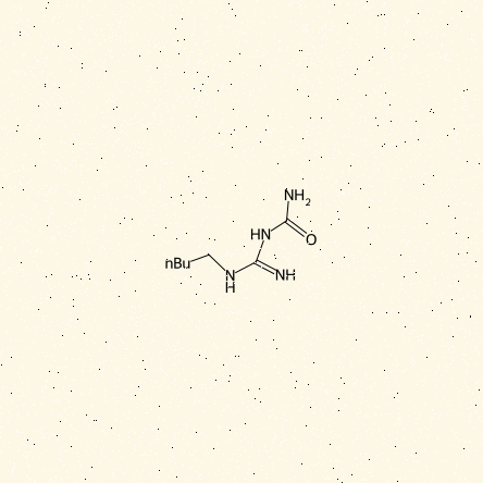 CCCCCNC(=N)NC(N)=O